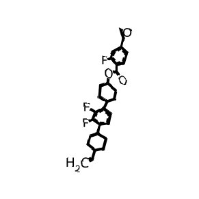 C=CC1CCC(c2ccc(C3CCC(OC(=O)c4ccc(C5CO5)cc4F)CC3)c(F)c2F)CC1